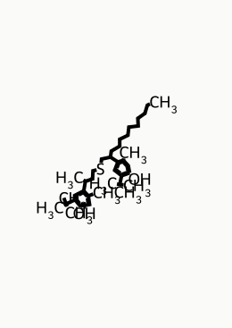 CCCCCCCCCCC(CSCCC(C)c1cc(C(C)(C)C)c(O)cc1C)c1cc(C(C)(C)C)c(O)cc1C